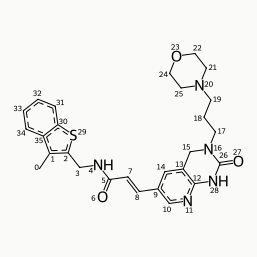 Cc1c(CNC(=O)C=Cc2cnc3c(c2)CN(CCCN2CCOCC2)C(=O)N3)sc2ccccc12